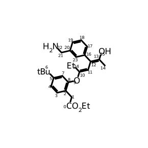 CCOC(=O)Cc1ccc(C(C)(C)C)cc1O/C(=C/C(=C(\C)O)c1cccc(CN)c1)CC